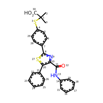 CC(C)(Sc1ccc(-c2nc(C(=O)Nc3ccccc3)c(-c3ccccc3)s2)cc1)C(=O)O